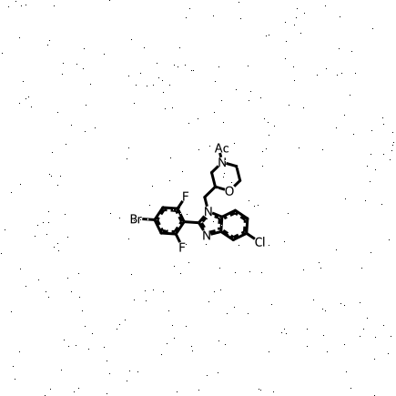 CC(=O)N1CCOC(Cn2c(-c3c(F)cc(Br)cc3F)nc3cc(Cl)ccc32)C1